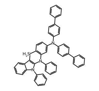 c1ccc(-c2ccc(N(c3ccc(-c4ccccc4)cc3)c3ccc4c(c3)N(c3ccccc3)c3c(c5ccccc5n3-c3ccccc3)[SiH2]4)cc2)cc1